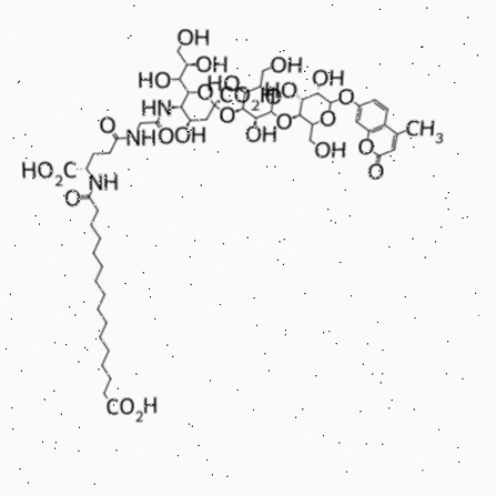 Cc1cc(=O)oc2cc(OC3OC(CO)[C@@H](OC4OC(CO)[C@H](O)[C@H](O[C@]5(C(=O)O)C[C@@H](O)[C@@H](NC(=O)CNC(=O)CC[C@H](NC(=O)CCCCCCCCCCCCCCC(=O)O)C(=O)O)C(C(O)[C@H](O)CO)O5)[C@@H]4O)[C@H](O)[C@@H]3O)ccc12